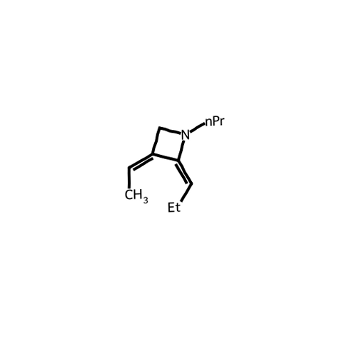 C/C=C1/CN(CCC)/C1=C/CC